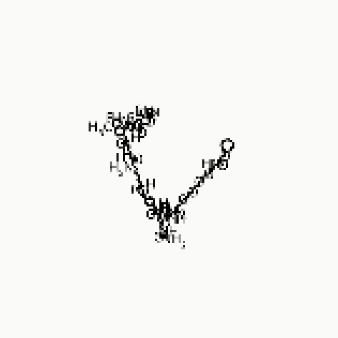 Cc1c(F)cc2nc3c(c4c2c1CC[C@@H]4NC(=O)COCNC(=O)[C@@H](N)CCCCNC(=O)OCc1ccc(NC(=O)[C@H](CCCNC(N)=O)NC(=O)[C@@H](NC(=O)CCOCCOCCOCCOCCNC(=O)COC2/C=C\CCCCC2)C(C)C)cc1)Cn1c-3cc2c(c1=O)COC(=O)[C@]2(O)[C@@H](C)[SiH3]